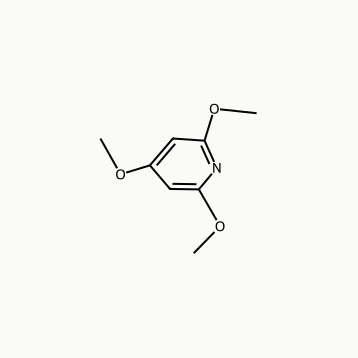 COc1cc(OC)nc(OC)c1